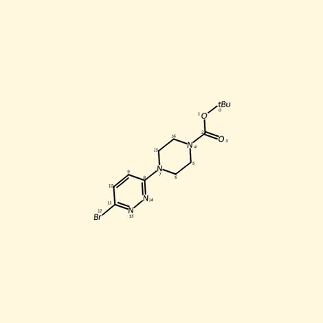 CC(C)(C)OC(=O)N1CCN(c2ccc(Br)nn2)CC1